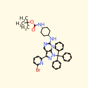 CC(C)(C)OC(=O)N[C@H]1CC[C@H](Nc2ncc3c(-c4cccc(Br)n4)nn(C(c4ccccc4)(c4ccccc4)c4ccccc4)c3n2)CC1